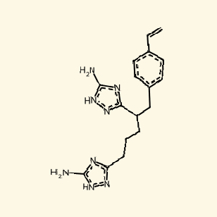 C=Cc1ccc(CC(CCCc2n[nH]c(N)n2)c2n[nH]c(N)n2)cc1